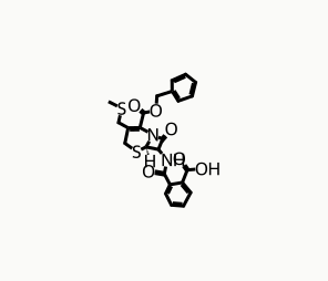 CSCC1=C(C(=O)OCc2ccccc2)N2C(=O)C(NC(=O)c3ccccc3C(=O)O)[C@H]2SC1